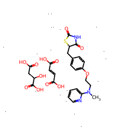 CN(CCOc1ccc(CC2SC(=O)NC2=O)cc1)c1ccccn1.O=C(O)C=CC(=O)O.O=C(O)CC(O)C(=O)O